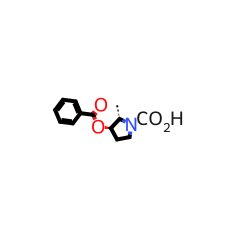 C[C@H]1[C@H](OC(=O)c2ccccc2)CCN1C(=O)O